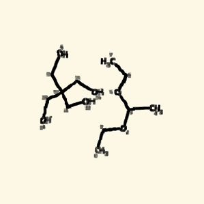 CCOC(C)OCC.OCC(CO)(CO)CO